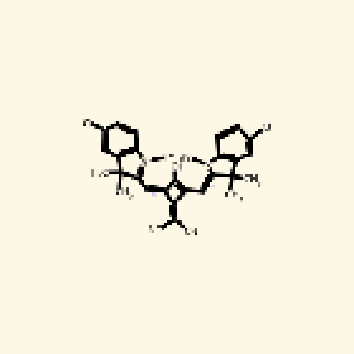 CC(C)N1/C(=C\C2=C(O)C(=C\C3=[N+](C(C)C)c4ccc(Cl)cc4C3(C)C)/C2=C(C#N)C#N)C(C)(C)c2cc(Cl)ccc21